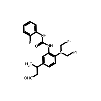 CC(C)CN(CC(C)C)c1ccc(C(C)CC=O)cc1NC(=O)Nc1ccccc1F